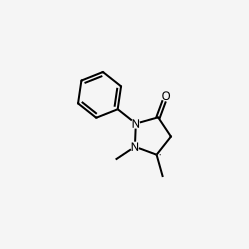 C[C]1CC(=O)N(c2ccccc2)N1C